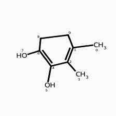 CC1=C(C)C(O)=C(O)CC1